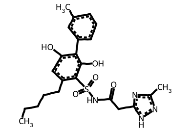 CCCCCc1cc(O)c(-c2cccc(C)c2)c(O)c1S(=O)(=O)NC(=O)Cc1nc(C)n[nH]1